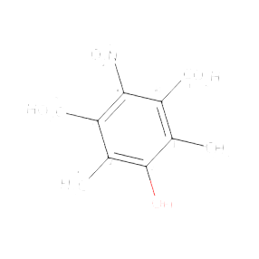 Cc1c(O)c(C)c(C(=O)O)c([N+](=O)[O-])c1C(=O)O